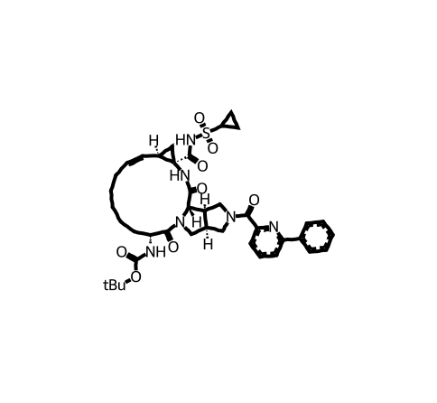 CC(C)(C)OC(=O)N[C@@H]1CCCCC/C=C\[C@H]2C[C@@]2(C(=O)NS(=O)(=O)C2CC2)NC(=O)[C@@H]2[C@H]3CN(C(=O)c4cccc(-c5ccccc5)n4)C[C@H]3CN2C1=O